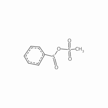 CS(=O)(=O)OS(=O)c1ccccc1